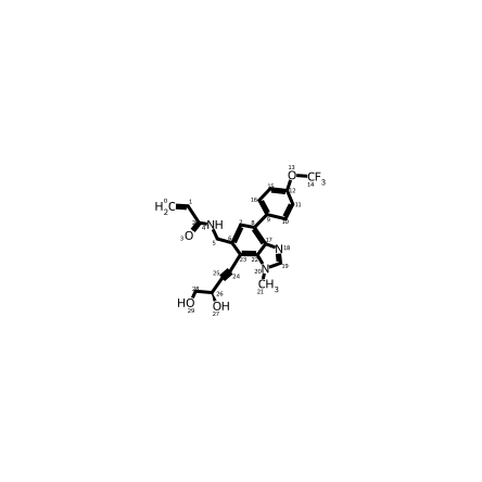 C=CC(=O)NCc1cc(-c2ccc(OC(F)(F)F)cc2)c2ncn(C)c2c1C#C[C@@H](O)CO